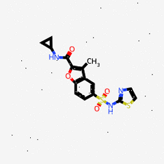 Cc1c(C(=O)NC2CC2)oc2ccc(S(=O)(=O)Nc3nccs3)cc12